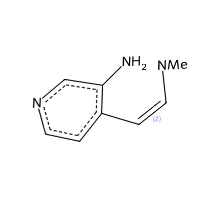 CN/C=C\c1ccncc1N